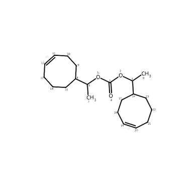 CC(OC(=O)OC(C)C1CC/C=C\CCC1)C1CC/C=C\CCC1